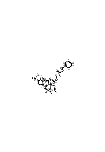 CC(C)[C@]12O[C@H]1[C@@H]1C[C@]13[C@]1(O[C@H]1C[C@H]1C4=C(CC[C@@]13C)C(=O)OC4)[C@@H]2OC(=O)OCCC(=O)OCc1ccccc1